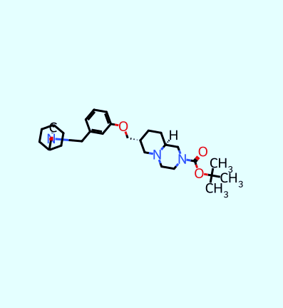 CC(C)(C)OC(=O)N1CCN2C[C@H](COc3cccc(CN4CC5CCC(CC5)C4)c3)CC[C@H]2C1